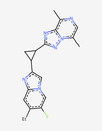 CCc1cc2nc(C3CC3c3nc4c(C)ncc(C)n4n3)cn2cc1F